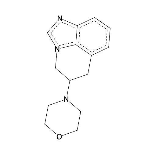 c1cc2c3c(c1)ncn3CC(N1CCOCC1)C2